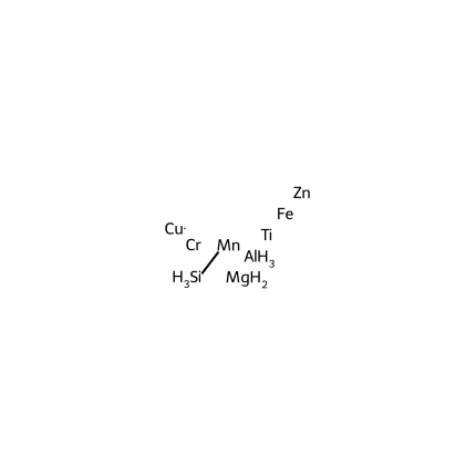 [AlH3].[Cr].[Cu].[Fe].[MgH2].[SiH3][Mn].[Ti].[Zn]